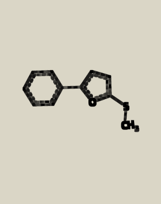 CSc1ccc(-c2ccccc2)o1